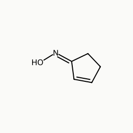 O/N=C1\C=CCC1